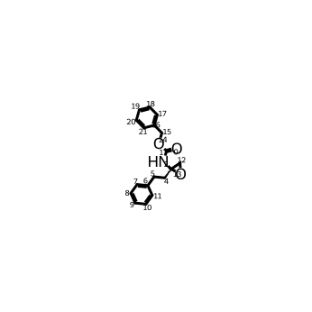 O=C(N[C@]1(CCc2ccccc2)CO1)OCc1ccccc1